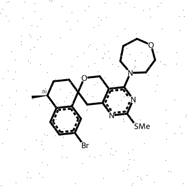 CSc1nc2c(c(N3CCCOCC3)n1)COC1(CC[C@H](C)c3ccc(Br)cc31)C2